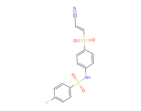 N#CC=CS(=O)(=O)c1ccc(NS(=O)(=O)c2ccc(F)cc2)cc1